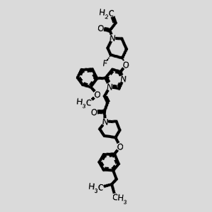 C=CC(=O)N1CC[C@H](Oc2cc(-c3ccccc3OC)[n+](C=CC(=O)N3CCC(Oc4cccc(CC(C)C)c4)CC3)cn2)[C@H](F)C1